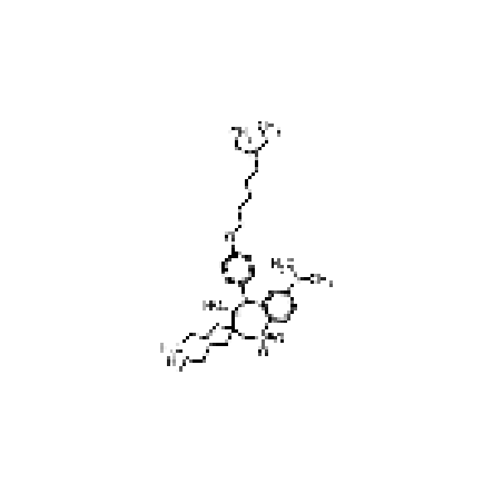 CCCCC1(CCCC)CS(=O)(=O)c2ccc(N(C)C)cc2C(c2ccc(OCCCCCN(CC)CC)cc2)[C@H]1O